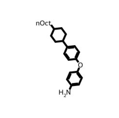 CCCCCCCCC1CCC(c2ccc(Oc3ccc(N)cc3)cc2)CC1